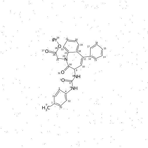 Cc1ccc(NC(=O)NC2C=C(c3ccccc3)c3ccccc3N(CC(=O)OC(C)C)C2=O)cc1